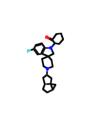 O=C1CCCCC1N1CC2(CCN(C3CC4CCC5CC45C3)CC2)c2cc(F)ccc21